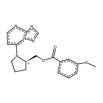 COc1cccc(C(=O)OC[C@H]2CCCN2c2ccnc3ncnn23)c1